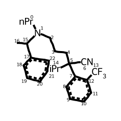 CCCN(CCCC(C#N)(c1ccccc1C(F)(F)F)C(C)C)C(C)c1ccccc1